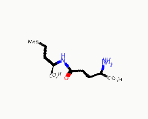 CSCC[C@@H](NC(=O)CCC(N)C(=O)O)C(=O)O